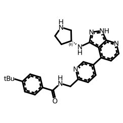 CC(C)(C)c1ccc(C(=O)NCc2ccc(-c3ccnc4[nH]nc(N[C@@H]5CCNC5)c34)cn2)cc1